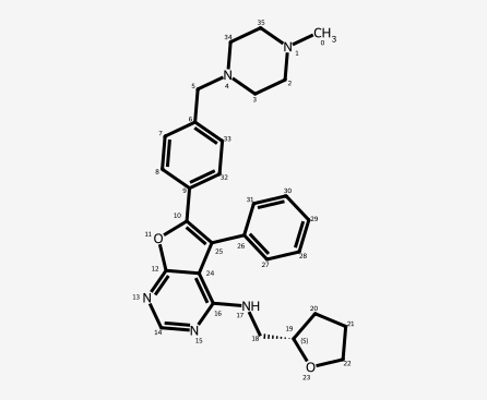 CN1CCN(Cc2ccc(-c3oc4ncnc(NC[C@@H]5CCCO5)c4c3-c3ccccc3)cc2)CC1